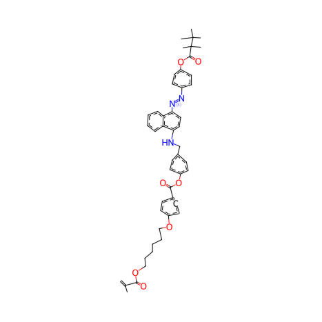 C=C(C)C(=O)OCCCCCCOc1ccc(C(=O)Oc2ccc(CNc3ccc(/N=N/c4ccc(OC(=O)C(C)(C)C(C)(C)C)cc4)c4ccccc34)cc2)cc1